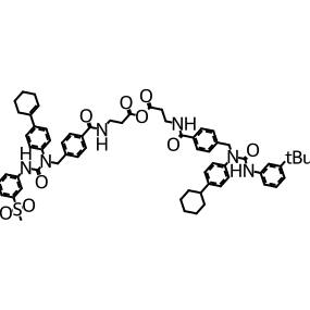 CC(C)(C)c1cccc(NC(=O)N(Cc2ccc(C(=O)NCCC(=O)OC(=O)CCNC(=O)c3ccc(CN(C(=O)Nc4cccc(S(C)(=O)=O)c4)c4ccc(C5=CCCCC5)cc4)cc3)cc2)c2ccc(C3CCCCC3)cc2)c1